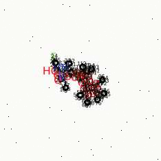 O=C1OC[C@H](Cc2ccccc2)N1C(=O)[C@H](CC[C@H](O)c1ccc(F)cc1)[C@H](Nc1ccccc1)c1ccc(OS(=O)(=O)C[C@@H]2OC(COCc3ccccc3)[C@@H](O[C@@H]3OC(COCc4ccccc4)[C@@H](OCc4ccccc4)[C@@H](OCc4ccccc4)C3OCc3ccccc3)[C@@H](OCc3ccccc3)C2OCc2ccccc2)cc1